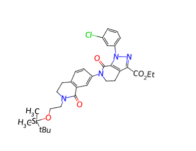 CCOC(=O)c1nn(-c2cccc(Cl)c2)c2c1CCN(c1ccc3c(c1)C(=O)N(CCO[Si](C)(C)C(C)(C)C)CC3)C2=O